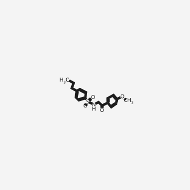 CCCc1ccc(S(=O)(=O)NCC(=O)c2ccc(OC)cc2)cc1